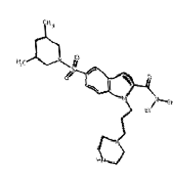 CCN(CC)C(=O)c1cc2cc(S(=O)(=O)N3CC(C)CC(C)C3)ccc2n1CCCN1CCNCC1